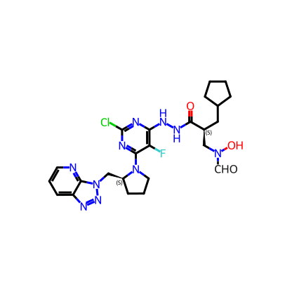 O=CN(O)C[C@H](CC1CCCC1)C(=O)NNc1nc(Cl)nc(N2CCC[C@H]2Cn2nnc3cccnc32)c1F